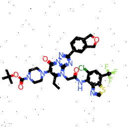 CCc1c(N2CCN(C(=O)OC(C)(C)C)CC2)c(=O)n2nc(-c3ccc4c(c3)COC4)nc2n1CC(=O)Nc1c(Cl)cc(C(F)(F)F)c2scnc12